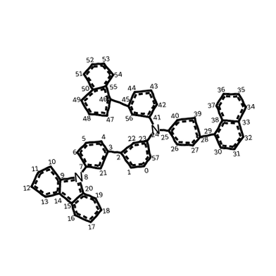 c1cc(-c2cccc(-n3c4ccccc4c4ccccc43)c2)cc(N(c2ccc(-c3cccc4ccccc34)cc2)c2cccc(-c3cccc4ccccc34)c2)c1